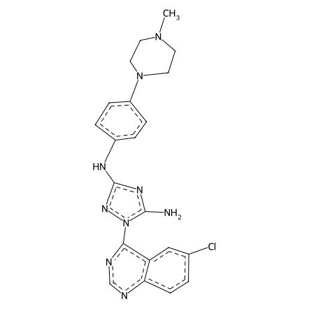 CN1CCN(c2ccc(Nc3nc(N)n(-c4ncnc5ccc(Cl)cc45)n3)cc2)CC1